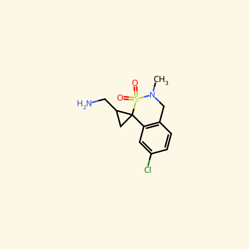 CN1Cc2ccc(Cl)cc2C2(CC2CN)S1(=O)=O